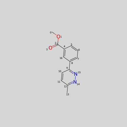 COC(=O)c1cccc(-c2ccc(C)nn2)c1